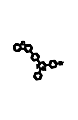 Brc1ccc(-c2cc(-c3ccc(-c4ccc5oc6ccccc6c5c4)cc3)nc(-c3ccccc3)n2)cc1